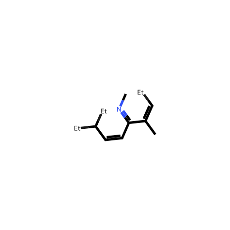 CC/C=C(/C)C(/C=C\C(CC)CC)=NC